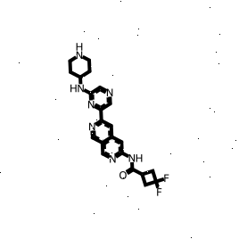 O=C(Nc1cc2cc(-c3cncc(NC4CCNCC4)n3)ncc2cn1)C1CC(F)(F)C1